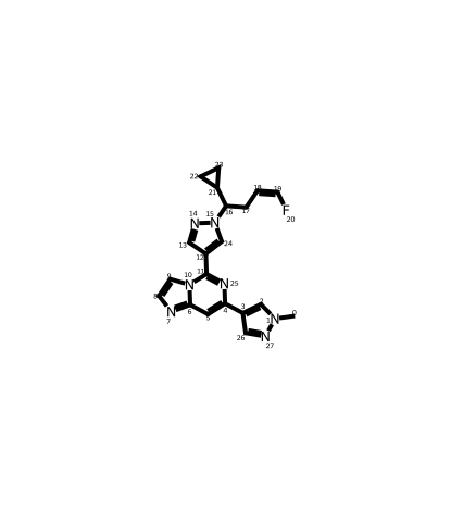 Cn1cc(-c2cc3nccn3c(-c3cnn(C(C/C=C\F)C4CC4)c3)n2)cn1